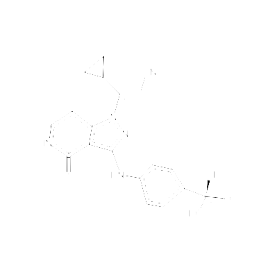 C[C@@](O)(c1ccc(Nc2nn([C@@H](CC#N)C3CC3)c3cc[nH]c(=O)c23)cc1)C(F)(F)F